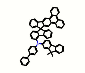 CC1(C)c2ccccc2-c2ccc(N(c3ccc(-c4ccccc4)cc3)c3cccc4c3-c3ccccc3C43c4ccccc4-c4cc5c6ccccc6c6ccccc6c5cc43)cc21